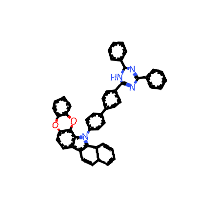 C1=CC2C=Cc3c(n(-c4ccc(-c5ccc(C6=NC(c7ccccc7)=NC(c7ccccc7)N6)cc5)cc4)c4c5c(ccc34)Oc3ccccc3O5)C2C=C1